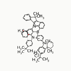 Cc1cc2c3c(c1)-n1c4c(c5cccc(c51)B3c1ccc(N3c5ccc(C(C)(C)C)cc5C5(C)CCCCC35C)cc1N2c1ccc(C(C)(C)C)cc1-c1ccccc1)C(C)(C)c1ccccc1-4